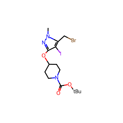 Cn1nc(OC2CCN(C(=O)OC(C)(C)C)CC2)c(I)c1CBr